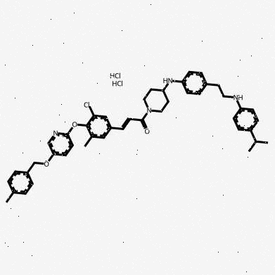 Cc1ccc(COc2ccc(Oc3c(C)cc(/C=C/C(=O)N4CCC(Nc5ccc(CCNc6ccc(C(C)C)cc6)cc5)CC4)cc3Cl)nc2)cc1.Cl.Cl